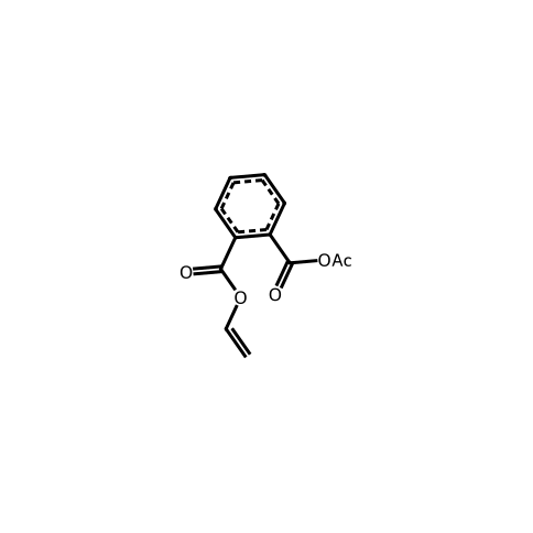 C=COC(=O)c1ccccc1C(=O)OC(C)=O